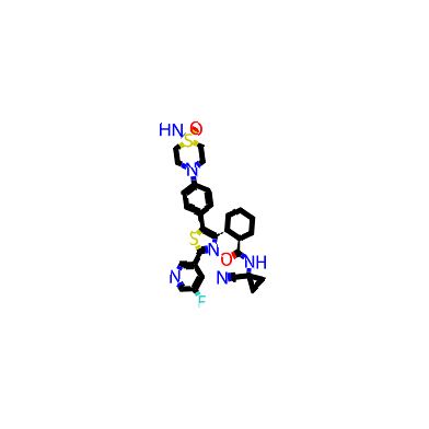 N#CC1(NC(=O)[C@@H]2CCCC[C@H]2c2nc(-c3cncc(F)c3)sc2-c2ccc(N3CCS(=N)(=O)CC3)cc2)CC1